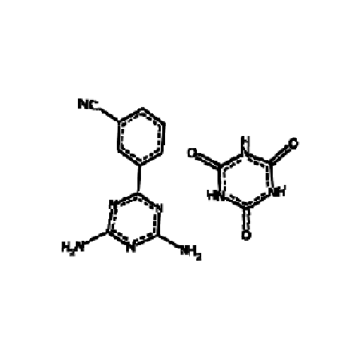 N#Cc1cccc(-c2nc(N)nc(N)n2)c1.O=c1[nH]c(=O)[nH]c(=O)[nH]1